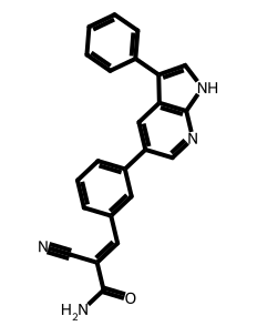 N#C/C(=C\c1cccc(-c2cnc3[nH]cc(-c4ccccc4)c3c2)c1)C(N)=O